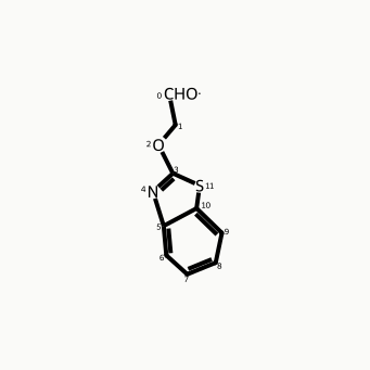 O=[C]COc1nc2ccccc2s1